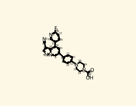 N#Cc1cnn2cc(-c3ccc(N4CCN(C(=O)O)CC4)cc3)cc(-c3ccc(F)nc3)c12